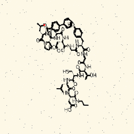 CCCNC(=O)[C@H](CC(=O)O)NC(=O)[C@H](CC(C)C)NC(=O)[C@H](CS)NC(=O)[C@@H](NC(=O)CNC(=O)[C@H](Cc1ccc(O)cc1)NC(=O)[C@H](C)NC(=O)[C@H](CC(=O)O)NC(=O)[C@H](CS)NC(=O)[C@@H]1CCCN1C(=O)[C@H](CC(C)C)NC(=O)c1ccc(-c2ccccc2)cc1)C(C)O